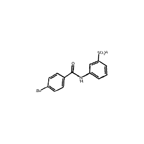 CCC(C)c1ccc(C(=O)Nc2cccc(S(=O)(=O)O)c2)cc1